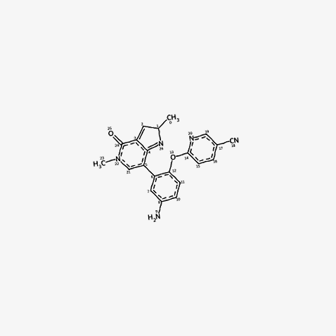 CC1C=c2c(c(-c3cc(N)ccc3Oc3ccc(C#N)cn3)cn(C)c2=O)=N1